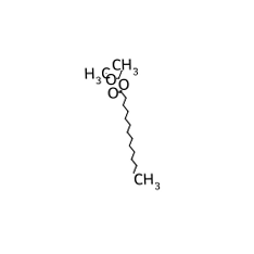 CCCCCCCCCCCCCC(=O)OC(CC)OC